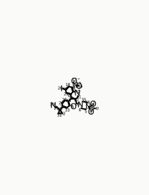 CS(=O)(=O)N1CCN(C(=O)c2cnc3c([N+](=O)[O-])cc(I)cc3c2-c2ccc(C3(C#N)CC3)cc2)CC1